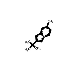 Cc1ccn2cc(C(C)(C)C)cc2c1